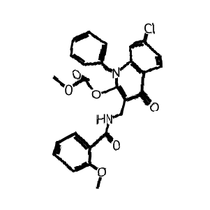 COC(=O)Oc1c(CNC(=O)c2ccccc2OC)c(=O)c2ccc(Cl)cc2n1-c1ccccc1